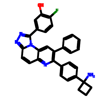 NC1(c2ccc(-c3nc4ccc5nnc(-c6ccc(F)c(O)c6)n5c4cc3-c3ccccc3)cc2)CCC1